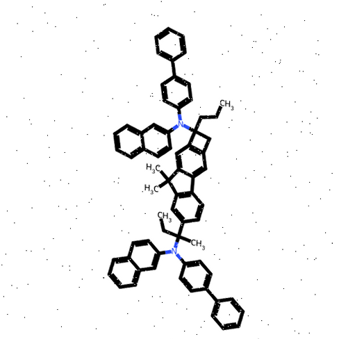 CCCC1(N(c2ccc(-c3ccccc3)cc2)c2ccc3ccccc3c2)Cc2cc3c(cc21)C(C)(C)c1cc(C(C)(CC)N(c2ccc(-c4ccccc4)cc2)c2ccc4ccccc4c2)ccc1-3